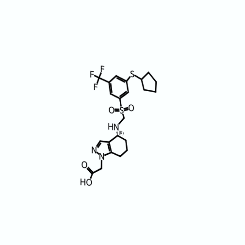 O=C(O)Cn1ncc2c1CCC[C@H]2NCS(=O)(=O)c1cc(SC2CCCC2)cc(C(F)(F)F)c1